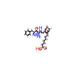 NC(Cc1ccccc1)C(=O)NNCC1C2CCC(O2)C1CCCCCCC(=O)O